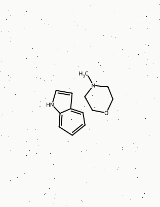 CN1CCOCC1.c1ccc2[nH]ccc2c1